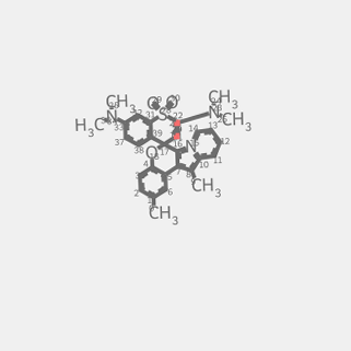 Cc1ccc2c(c1)-c1c(C)c3ccccn3c1C1(O2)c2ccc(N(C)C)cc2S(=O)(=O)c2cc(N(C)C)ccc21